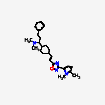 Cc1ccc(-c2noc(/C=C/C3CCC(C(CCc4ccccc4)N(C)C)CC3)n2)n1C